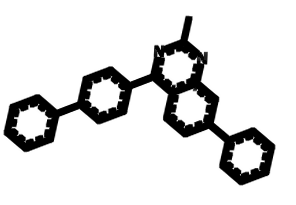 Cc1nc(-c2ccc(-c3ccccc3)cc2)c2ccc(-c3ccccc3)cc2n1